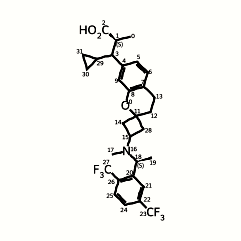 C[C@H](C(=O)O)C(c1ccc2c(c1)OC1(CC2)CC(N(C)[C@@H](C)c2cc(C(F)(F)F)ccc2C(F)(F)F)C1)C1CC1